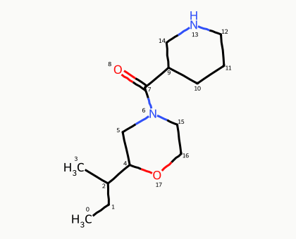 CCC(C)C1CN(C(=O)C2CCCNC2)CCO1